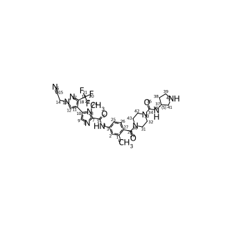 Cc1cc(NC(=O)c2ncc(-c3cn(CC#N)nc3C(F)(F)F)n2C)ccc1C(=O)N1CCN(C(=O)N[C@H]2CCNC2)CC1